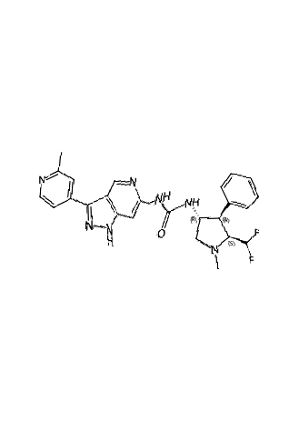 Cc1cc(-c2n[nH]c3cc(NC(=O)N[C@H]4CN(C)[C@H](C(F)F)[C@@H]4c4ccccc4)ncc23)ccn1